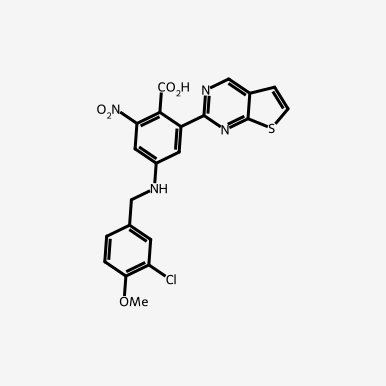 COc1ccc(CNc2cc(-c3ncc4ccsc4n3)c(C(=O)O)c([N+](=O)[O-])c2)cc1Cl